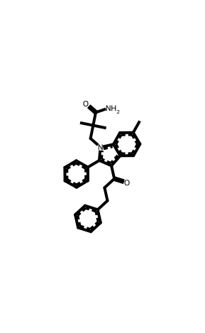 Cc1ccc2c(C(=O)CCc3ccccc3)c(-c3ccccc3)n(CC(C)(C)C(N)=O)c2c1